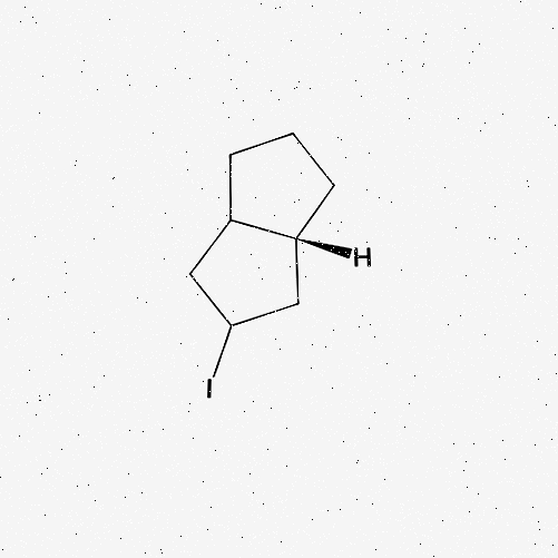 IC1CC2CCC[C@@H]2C1